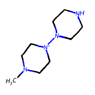 CN1CC[N+](N2CCNCC2)CC1